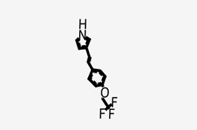 FC(F)(F)COc1ccc(C=Cc2cc[nH]c2)cc1